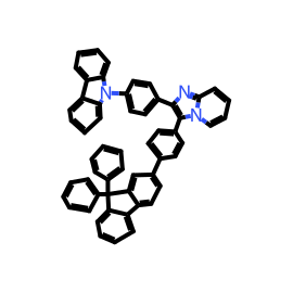 c1ccc(C2(c3ccccc3)c3ccccc3-c3ccc(-c4ccc(-c5c(-c6ccc(-n7c8ccccc8c8ccccc87)cc6)nc6ccccn56)cc4)cc32)cc1